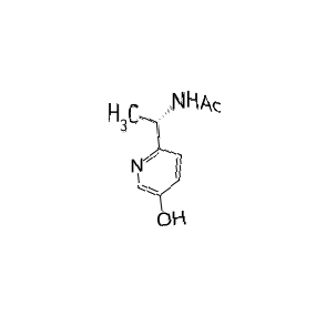 CC(=O)N[C@@H](C)c1ccc(O)cn1